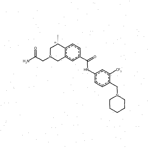 C[C@H]1CN(CC(N)=O)Cc2cc(C(=O)Nc3ccc(CN4CCCCC4)c(C(F)(F)F)c3)ccc21